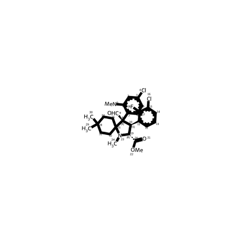 CNc1cc(Cl)ccc1[C@]1(C=O)[C@@H](c2cccc(Cl)c2F)[C@H](C(=O)OC)N(C)C12CCC(C)(C)CC2